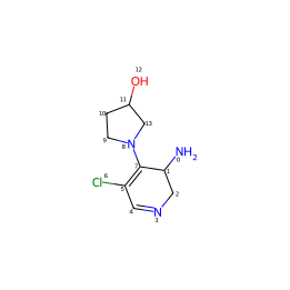 NC1CN=CC(Cl)=C1N1CCC(O)C1